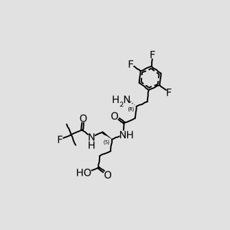 CC(C)(F)C(=O)NC[C@H](CCC(=O)O)NC(=O)C[C@H](N)Cc1cc(F)c(F)cc1F